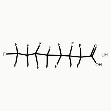 O=C(O)C(F)(F)C(F)(F)C(F)(F)C(F)(F)C(F)(F)C(F)(F)C(F)(F)F.[LiH]